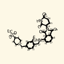 CCS(=O)(=O)C1CCN(Cc2ccc(CNc3cccc4c3C(=O)N(C3CCC(=O)NC3=O)C4=O)c(F)c2)CC1